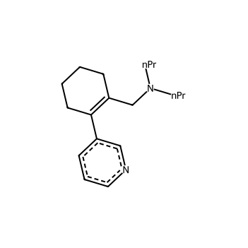 CCCN(CCC)CC1=C(c2cccnc2)CCCC1